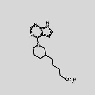 O=C(O)CCCCC1CCCN(c2ncnc3[nH]ccc23)C1